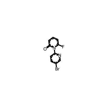 O=c1cccc(F)n1-c1ccc(Br)cn1